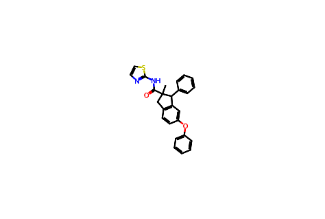 CC1(C(=O)Nc2nccs2)Cc2ccc(Oc3ccccc3)cc2C1c1ccccc1